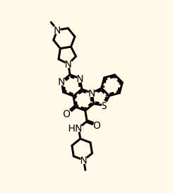 CN1CCC(NC(=O)c2c(=O)c3cnc(N4CC5CCN(C)CC5C4)nc3n3c2sc2ccccc23)CC1